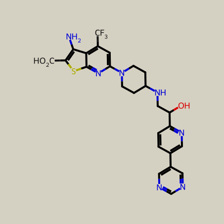 Nc1c(C(=O)O)sc2nc(N3CCC(NCC(O)c4ccc(-c5cncnc5)cn4)CC3)cc(C(F)(F)F)c12